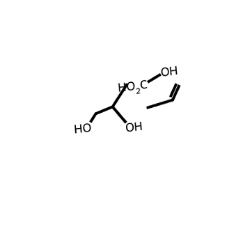 C=CC.CC(O)CO.O=C(O)O